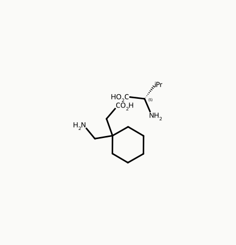 CC(C)[C@H](N)C(=O)O.NCC1(CC(=O)O)CCCCC1